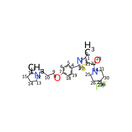 Cc1nc(-c2ccc(OCCCN3CCCC3C)cc2)sc1C(=O)N1CCC(F)(F)CC1